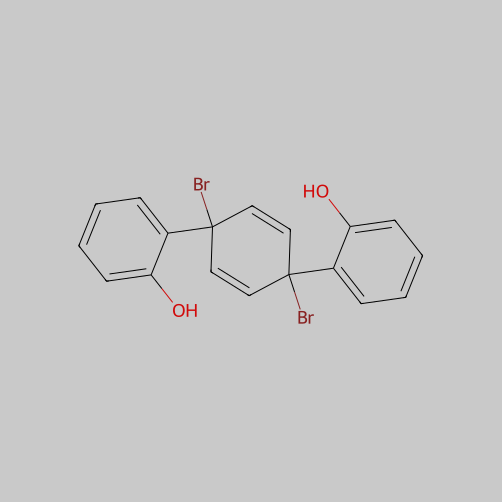 Oc1ccccc1C1(Br)C=CC(Br)(c2ccccc2O)C=C1